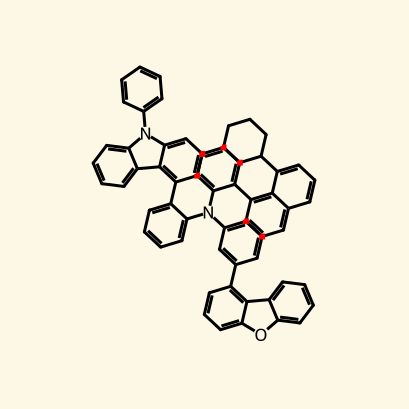 c1ccc(-n2c3ccccc3c3c(-c4ccccc4N(c4cccc(-c5cccc6oc7ccccc7c56)c4)c4ccccc4-c4cccc5cccc(C6CCCCC6)c45)cccc32)cc1